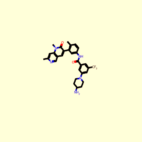 Cc1cc2c(cn1)cc(-c1cc(NC(=O)c3cc(N4CCC(N)CC4)cc(C(F)(F)F)c3)ccc1C)c(=O)n2C